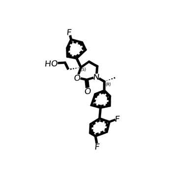 C[C@H](c1ccc(-c2ccc(F)cc2F)cc1)N1CC[C@](CCO)(c2ccc(F)cc2)OC1=O